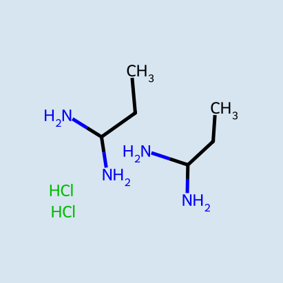 CCC(N)N.CCC(N)N.Cl.Cl